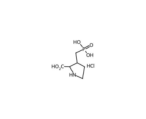 Cl.O=C(O)C1NCCC1CP(=O)(O)O